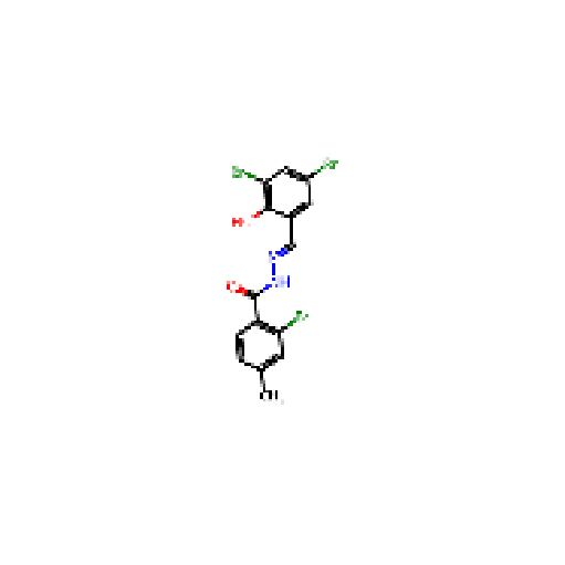 Cc1ccc(C(=O)N/N=C/c2cc(Br)cc(Br)c2O)c(Br)c1